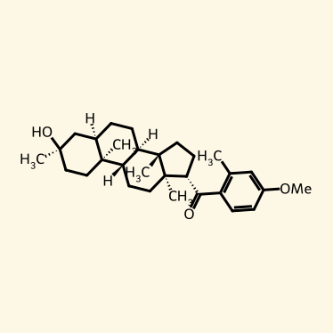 COc1ccc(C(=O)[C@H]2CC[C@@]3(C)[C@@H]4CC[C@@H]5C[C@](C)(O)CC[C@]5(C)[C@H]4CC[C@]23C)c(C)c1